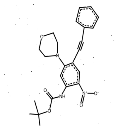 CC(C)(C)OC(=O)Nc1cc(N2CCOCC2)c(C#Cc2ccccc2)cc1[N+](=O)[O-]